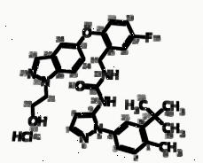 Cc1ccc(-n2nccc2NC(=O)NCc2cc(F)ccc2Oc2ccc3c(cnn3CCO)c2)cc1C(C)(C)C.Cl